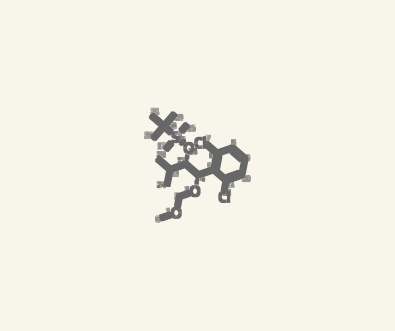 COCO[C@@H](c1c(Cl)cccc1Cl)[C@@H](O[Si](C)(C)C(C)(C)C)C(C)C